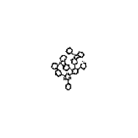 c1ccc(-c2nc(-c3ccccc3)nc(-c3ccc(-c4cccnc4)c(-c4ccc5c(c4)c4ccccc4n5-c4ccccc4)c3-c3ccc4c(c3)c3ccccc3n4-c3ccccc3)n2)cc1